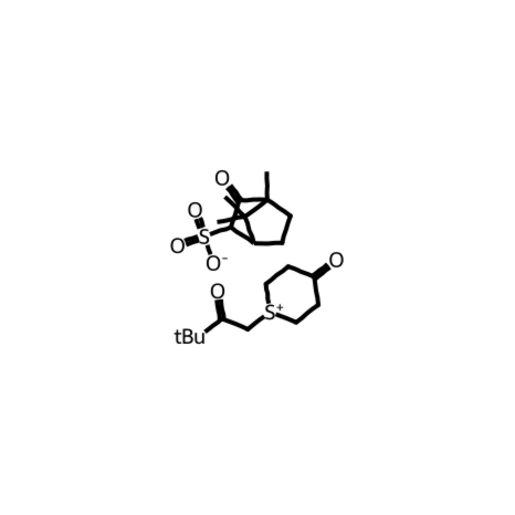 CC(C)(C)C(=O)C[S+]1CCC(=O)CC1.CC12CCC(C(S(=O)(=O)[O-])C1=O)C2(C)C